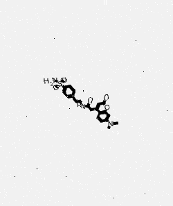 CN(C)c1ccc2c(CC(=O)NCCc3ccc(S(N)(=O)=O)cc3)cc(=O)oc2c1